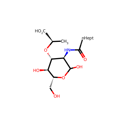 CCCCCCCC(=O)N[C@H]1C(O)O[C@H](CO)[C@@H](O)[C@@H]1O[C@H](C)C(=O)O